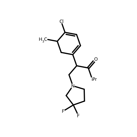 CC(C)C(=O)C(CN1CCC(F)(F)C1)C1=CC=C(Cl)C(C)C1